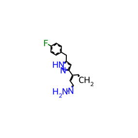 C=C/C(=C\C=N/N)c1cc(Cc2ccc(F)cc2)[nH]n1